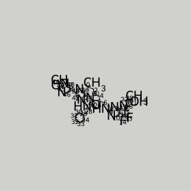 CCC[C@@H](CCCNc1ncc(C(F)(F)F)c(N2CC(C)(O)C2)n1)N(C(=O)NCc1ccccc1)c1cnc(-c2cnc(OC)nc2)cn1